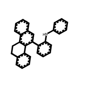 c1ccc(Nc2ccccc2-c2cc3ccccc3c3c2-c2ccccc2CC3)cc1